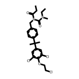 CCC(=O)N(Cc1ccc(C(C)(C)c2cc(Cl)c(OCCCl)c(Cl)c2)cc1)C(=O)N(C)CC